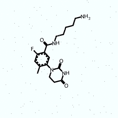 Cc1cc(F)c(C(=O)NCCCCCN)cc1N1CCC(=O)NC1=O